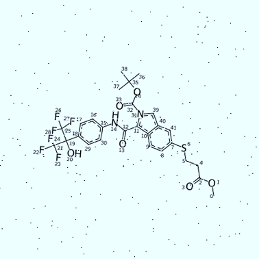 COC(=O)CCSc1ccc2c(C(=O)Nc3ccc(C(O)(C(F)(F)F)C(F)(F)F)cc3)n(C(=O)OC(C)(C)C)cc2c1